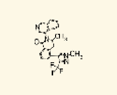 CC1Cc2c(cccc2-c2cn(C)nc2C(F)(F)F)C(=O)N1c1cncc2ccccc12